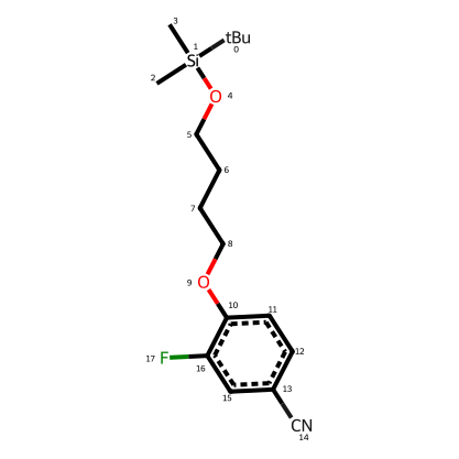 CC(C)(C)[Si](C)(C)OCCCCOc1ccc(C#N)cc1F